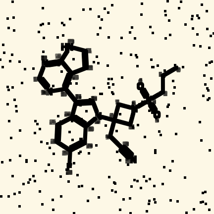 CCCS(=O)(=O)N1CC(CC#N)(n2cc(-c3ncnc4[nH]ccc34)c3ccc(F)cc32)C1